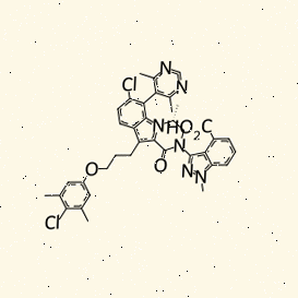 Cc1cc(OCCCc2c3n(c4c(-c5c(C)ncnc5C)c(Cl)ccc24)[C@H](C)CN(c2nn(C)c4cccc(C(=O)O)c24)C3=O)cc(C)c1Cl